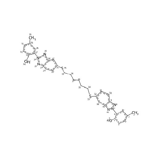 Cc1ccc(O)c(-n2nc3ccc(SCCCCCCSc4ccc5nn(-c6cc(C)ccc6O)nc5c4)cc3n2)c1